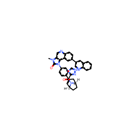 Cn1c(=O)n(-c2ccc(C3=C[C@@H]4CC[C@H](C3)N4C(=O)c3nc[nH]n3)cc2)c2c3cc(-c4cnc5ccccc5c4)ccc3ncc21